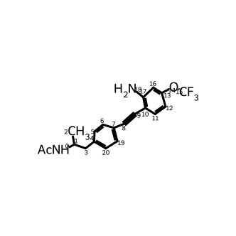 CC(=O)NC(C)Cc1ccc(C#Cc2ccc(OC(F)(F)F)cc2N)cc1